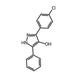 Oc1c(-c2ccc(Cl)cc2)n[nH]c1-c1ccccc1